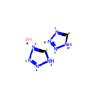 B.c1nnn[nH]1.c1nnn[nH]1